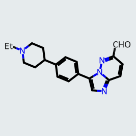 CCN1CCC(c2ccc(-c3cnc4ccc(C=O)nn34)cc2)CC1